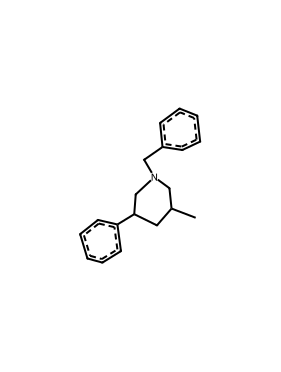 CC1CC(c2ccccc2)CN(Cc2ccccc2)C1